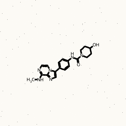 CNc1nccn2c(-c3ccc(NC(=O)N4CCC(O)CC4)cc3)cnc12